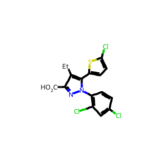 CCc1c(C(=O)O)nn(-c2ccc(Cl)cc2Cl)c1-c1ccc(Cl)s1